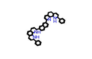 C1=CC(c2ccccc2)NC2=C1CCc1ccc(-c3ccc4ccc(C5C=Cc6ccc7c(c6N5)NC(c5ccccc5)C=C7)cc4c3)nc12